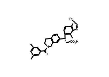 CCn1nnc2c(C)c([C@H](CC(=O)O)c3ccc4c(c3)CN(C(=O)c3cc(C)cc(C)c3)CC4)ccc21